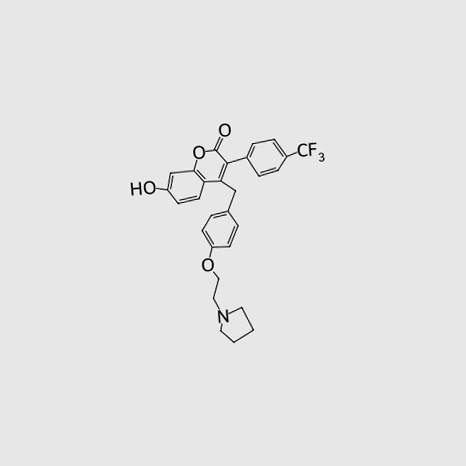 O=c1oc2cc(O)ccc2c(Cc2ccc(OCCN3CCCC3)cc2)c1-c1ccc(C(F)(F)F)cc1